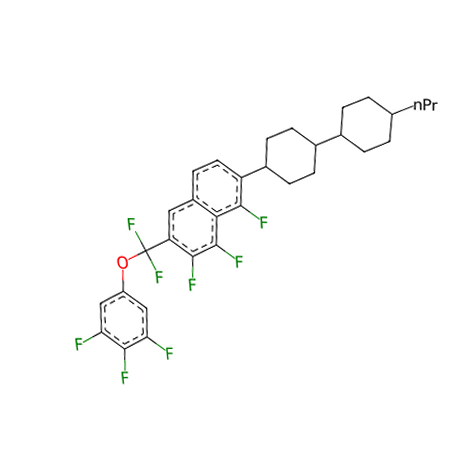 CCCC1CCC(C2CCC(c3ccc4cc(C(F)(F)Oc5cc(F)c(F)c(F)c5)c(F)c(F)c4c3F)CC2)CC1